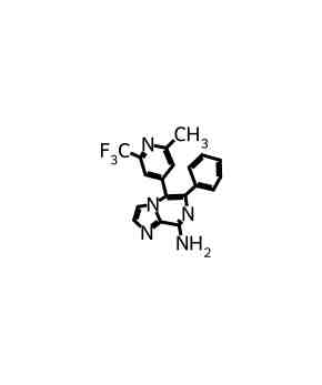 Cc1cc(-c2c(-c3ccccc3)nc(N)c3nccn23)cc(C(F)(F)F)n1